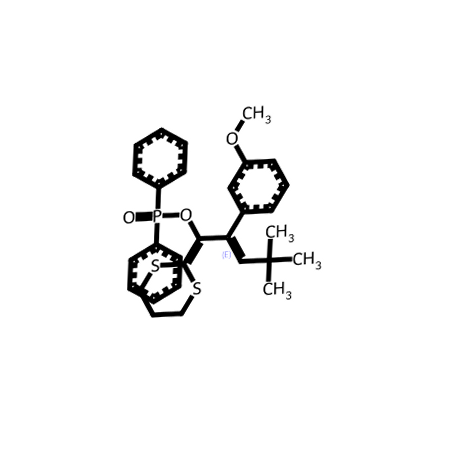 COc1cccc(/C(=C\C(C)(C)C)C(OP(=O)(c2ccccc2)c2ccccc2)=C2SCCCS2)c1